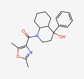 Cc1nc(C(=O)N2CCC(O)(c3ccccc3)C3CCCCC32)c(C)o1